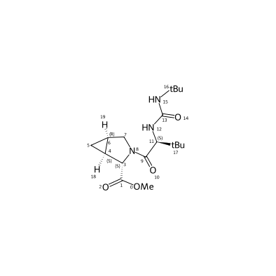 COC(=O)[C@@H]1[C@H]2C[C@H]2CN1C(=O)[C@@H](NC(=O)NC(C)(C)C)C(C)(C)C